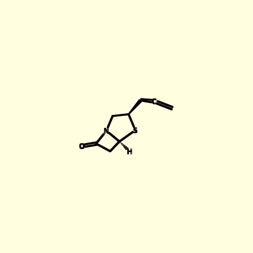 C=C=C[C@@H]1CN2C(=O)C[C@@H]2S1